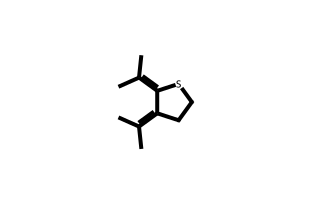 CC(C)=C1CCSC1=C(C)C